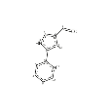 O=Cc1c[nH]c(-c2ccccn2)n1